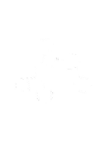 c1ccc(-c2cccc(-n3c4ccccc4c4cc5c6ccccc6c6nccnc6c5cc43)c2)cc1